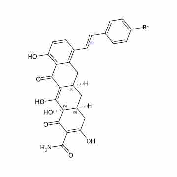 NC(=O)C1=C(O)C[C@@H]2C[C@@H]3Cc4c(/C=C/c5ccc(Br)cc5)ccc(O)c4C(=O)C3=C(O)[C@]2(O)C1=O